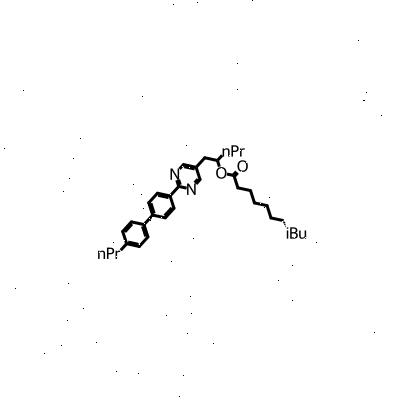 CCCc1ccc(-c2ccc(-c3ncc(CC(CCC)OC(=O)CCCCCC[C@@H](C)CC)cn3)cc2)cc1